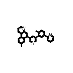 Cc1ccc2c(c1)c(-c1cncc(-c3cc(-c4ccccn4)ccc3C)c1)cc1ncccc12